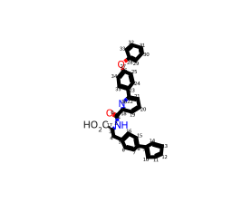 O=C(N[C@@H](Cc1ccc(-c2ccccc2)cc1)C(=O)O)c1cccc(-c2ccc(Oc3ccccc3)cc2)n1